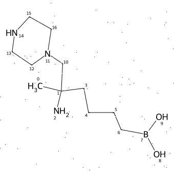 CC(N)(CCCCB(O)O)CN1CCNCC1